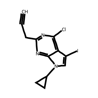 C#CCc1nc(Cl)c2c(I)cn(C3CC3)c2n1